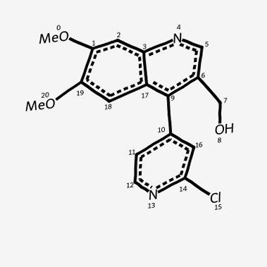 COc1cc2ncc(CO)c(-c3ccnc(Cl)c3)c2cc1OC